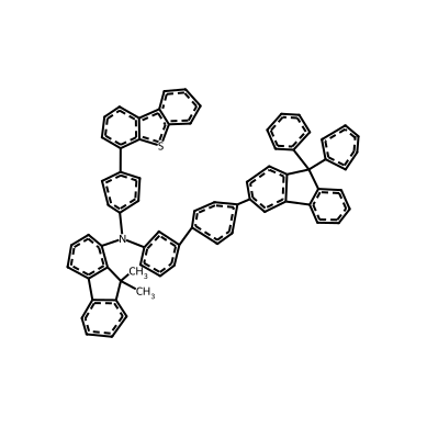 CC1(C)c2ccccc2-c2cccc(N(c3ccc(-c4cccc5c4sc4ccccc45)cc3)c3cccc(-c4ccc(-c5ccc6c(c5)-c5ccccc5C6(c5ccccc5)c5ccccc5)cc4)c3)c21